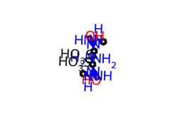 CC(O)Nc1nc(Nc2ccccc2)nc(-c2ccc(C(N)=C(N)c3ccc(-c4nc(Nc5ccccc5)nc(NC(C)O)n4)cc3S(=O)(=O)O)c(S(=O)(=O)O)c2)n1